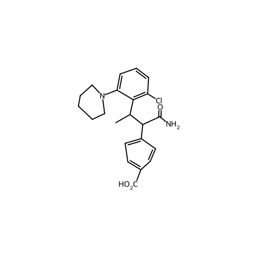 CC(c1c(Cl)cccc1N1CCCCC1)C(C(N)=O)c1ccc(C(=O)O)cc1